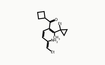 CC/C=C(N)/C=C\C(C(=O)C1CCC1)=C(/C)C1(CC)CC1